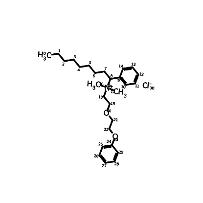 CCCCCCCCC(c1ccccc1)[N+](C)(C)CCOCCOc1ccccc1.[Cl-]